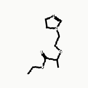 CCOC(=O)C(C)OCCN1C=NCC1